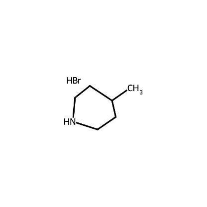 Br.CC1CCNCC1